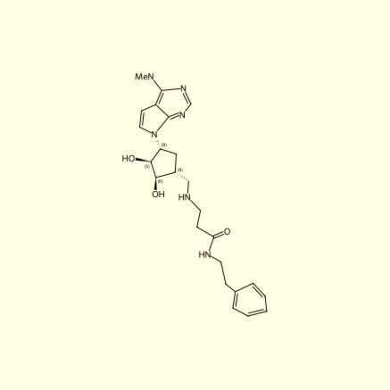 CNc1ncnc2c1ccn2[C@@H]1C[C@H](CNCCC(=O)NCCc2ccccc2)[C@@H](O)[C@H]1O